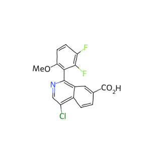 COc1ccc(F)c(F)c1-c1ncc(Cl)c2ccc(C(=O)O)cc12